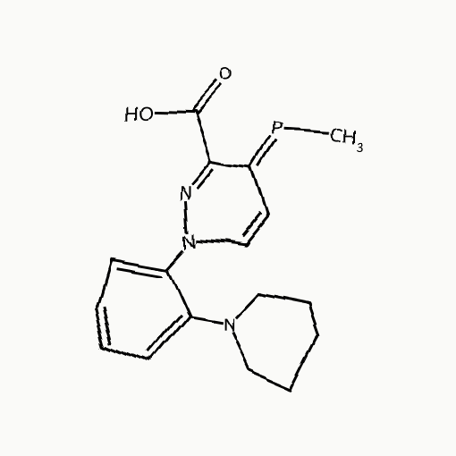 C/P=c1\ccn(-c2ccccc2N2CCCCC2)nc1C(=O)O